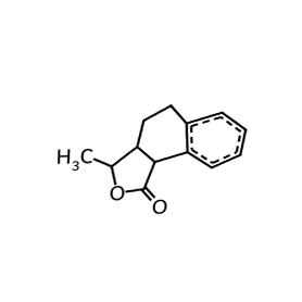 CC1OC(=O)C2c3ccccc3CCC12